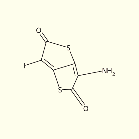 NC1=C2SC(=O)C(I)=C2SC1=O